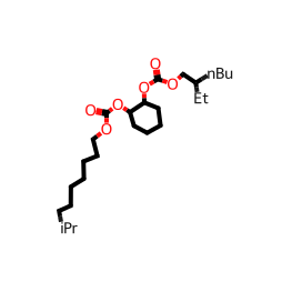 CCCCC(CC)COC(=O)OC1CCCCC1OC(=O)OCCCCCCCC(C)C